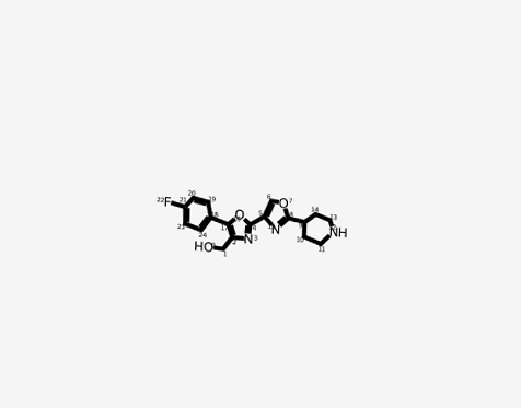 OCc1nc(-c2coc(C3CCNCC3)n2)oc1-c1ccc(F)cc1